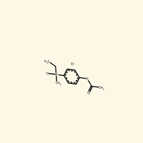 CC[N+](C)(Cl)c1ccc(OC(C)=O)cc1.[Cl-]